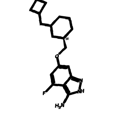 Nc1[nH]nc2cc(OC[C@@H]3CCCC(CC4CCC4)C3)cc(F)c12